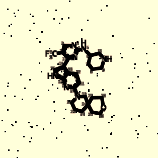 FC(F)(F)c1cnc(NC2CCCNC2)nc1-c1c[nH]c2nc(N3CCCC4(CCOCC4)C3)ccc12